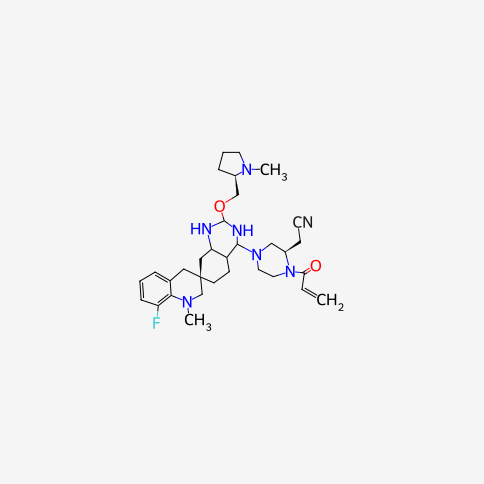 C=CC(=O)N1CCN(C2NC(OC[C@H]3CCCN3C)NC3C[C@]4(CCC32)Cc2cccc(F)c2N(C)C4)C[C@H]1CC#N